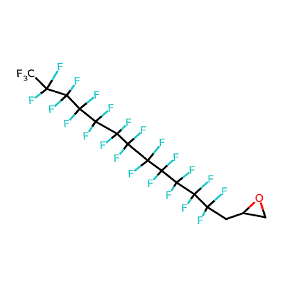 FC(F)(F)C(F)(F)C(F)(F)C(F)(F)C(F)(F)C(F)(F)C(F)(F)C(F)(F)C(F)(F)C(F)(F)C(F)(F)C(F)(F)CC1CO1